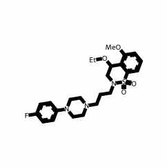 CCOC1CN(CCCN2CCN(c3ccc(F)cc3)CC2)S(=O)(=O)c2cccc(OC)c21